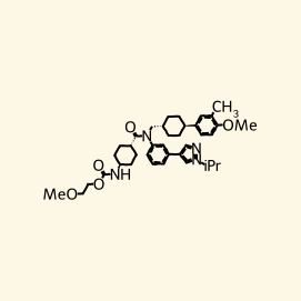 COCCOC(=O)N[C@H]1CC[C@H](C(=O)N(C[C@H]2CC[C@H](c3ccc(OC)c(C)c3)CC2)c2cccc(-c3cnn(C(C)C)c3)c2)CC1